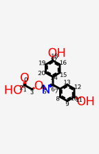 O=C(O)CON=C(c1ccc(O)cc1)c1ccc(O)cc1